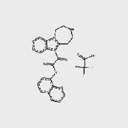 O=C(Nc1cccc2cccnc12)C(=O)c1c2n(c3ccccc13)CCNCC2.O=C(O)C(F)(F)F